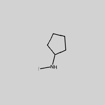 [C]NC1CCCC1